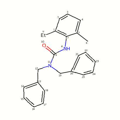 CCc1cccc(C)c1NC(=O)N(Cc1ccccc1)Cc1ccccc1